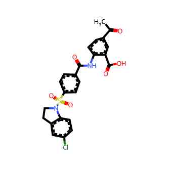 CC(=O)c1ccc(NC(=O)c2ccc(S(=O)(=O)N3CCc4cc(Cl)ccc43)cc2)c(C(=O)O)c1